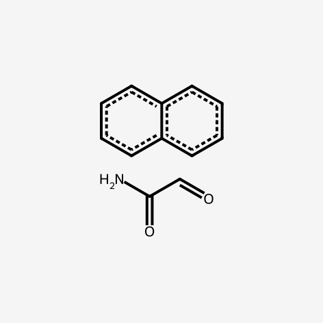 NC(=O)C=O.c1ccc2ccccc2c1